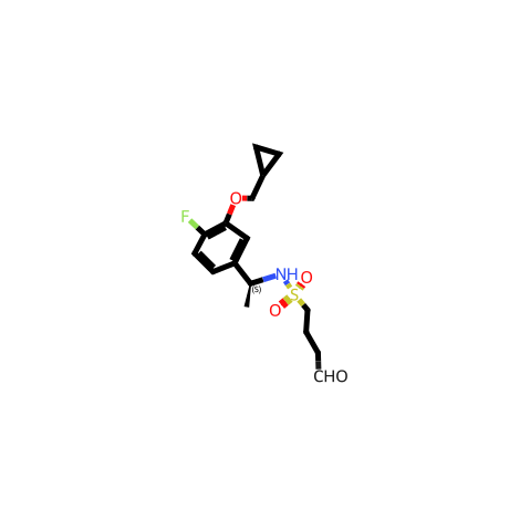 C[C@H](NS(=O)(=O)CCCC=O)c1ccc(F)c(OCC2CC2)c1